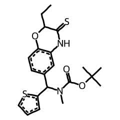 CCC1Oc2ccc(C(c3cccs3)N(C)C(=O)OC(C)(C)C)cc2NC1=S